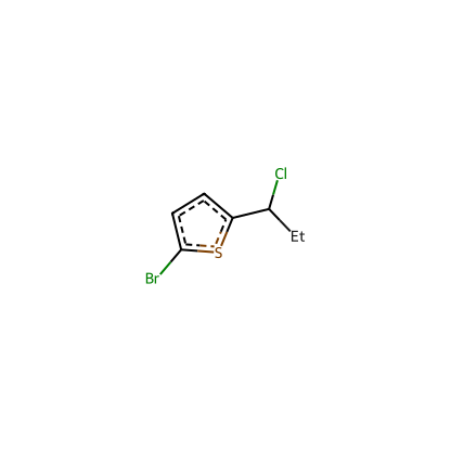 CCC(Cl)c1ccc(Br)s1